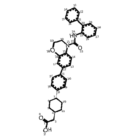 O=C(O)C[C@H]1CC[C@H](c2ccc(-c3ccc4c(c3)OCCN4C(=O)Nc3ccccc3-c3ccccc3)cc2)CC1